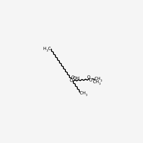 CCCCCCCCCCCCCCCCCCCCCC(=O)OC(CCCCCCCC)C(O)CCCCCCCC(=O)OCC(C)C